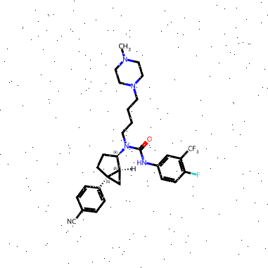 CN1CCN(CCCCN(C(=O)Nc2ccc(F)c(C(F)(F)F)c2)[C@@H]2CC[C@]3(c4ccc(C#N)cc4)C[C@H]23)CC1